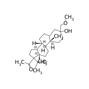 COCC1(O)CC[C@@]2(C)C(CC[C@@H]3[C@@H]2CC[C@@]2(C)[C@H]3CCC2(C(C)=O)C(C)=O)C1